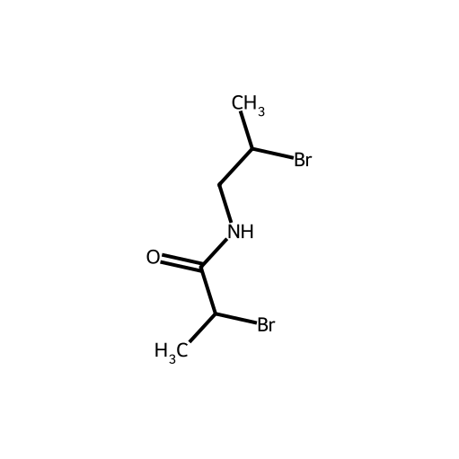 CC(Br)CNC(=O)C(C)Br